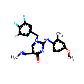 C/N=C/c1cn(Cc2cc(F)c(F)c(F)c2)c(Nc2ccc(OC)cc2C)nc1=O